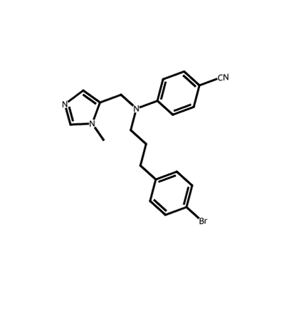 Cn1cncc1CN(CCCc1ccc(Br)cc1)c1ccc(C#N)cc1